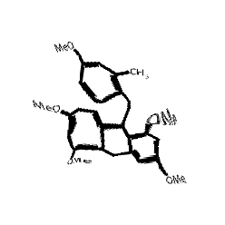 COc1ccc(CC2c3cc(OC)cc(OC)c3Cc3cc(OC)cc(OC)c32)c(C)c1